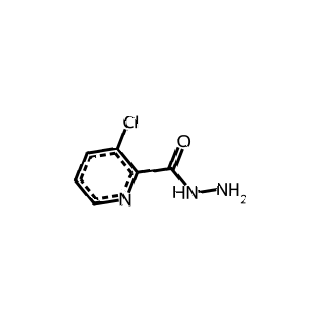 NNC(=O)c1ncccc1Cl